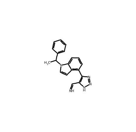 CC(c1ccccc1)n1ccc2c(-c3nn[nH]c3C=N)cccc21